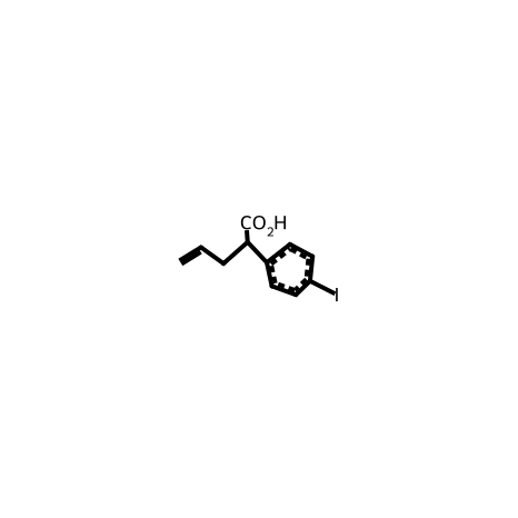 C=CCC(C(=O)O)c1ccc(I)cc1